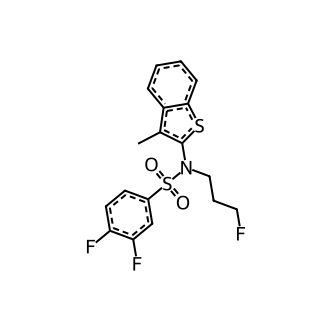 Cc1c(N(CCCF)S(=O)(=O)c2ccc(F)c(F)c2)sc2ccccc12